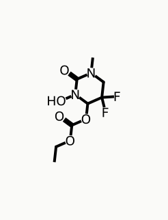 CCOC(=O)OC1N(O)C(=O)N(C)CC1(F)F